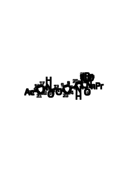 CCCn1c(=O)c2[nH]c(-c3ccc(OCC(=O)Nc4ccc(C(C)=O)cc4)cc3)cc2n(CCC)c1=O